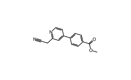 COC(=O)c1ccc(-c2ccnc(CC#N)c2)cc1